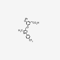 Cc1nc(-c2ccc(C(F)(F)F)cc2)sc1COc1cc(CC(=O)O)cc(OC(C)C)c1